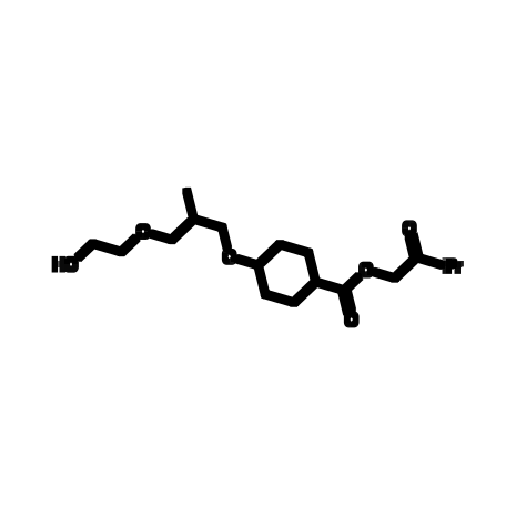 CC(COCCO)COC1CCC(C(=O)OCC(=O)C(C)C)CC1